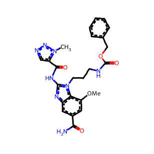 COc1cc(C(N)=O)cc2nc(NC(=O)c3cnnn3C)n(CCCNC(=O)OCc3ccccc3)c12